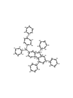 c1ccc(-c2ccc(N(c3ccccc3)c3ccc4c5c(-c6ccccc6)cc(-c6ccccc6)cc5n(-c5ccccc5)c4c3)cc2)cc1